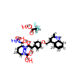 Cc1cc(COc2ccc(CC(=O)N3[C@@H](C(=O)NO)CCCN3C(=O)O)cc2)c2ccccc2n1.O=C(O)C(F)(F)F